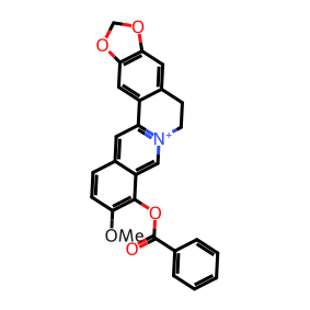 COc1ccc2cc3[n+](cc2c1OC(=O)c1ccccc1)CCc1cc2c(cc1-3)OCO2